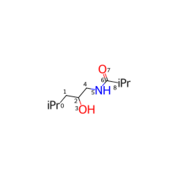 CC(C)CC(O)CNC(=O)C(C)C